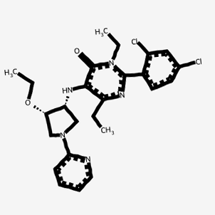 CCO[C@H]1CN(c2ccccn2)C[C@H]1Nc1c(CC)nc(-c2ccc(Cl)cc2Cl)n(CC)c1=O